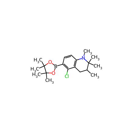 CC1Cc2c(ccc(B3OC(C)(C)C(C)(C)O3)c2Cl)N(C)C1(C)C